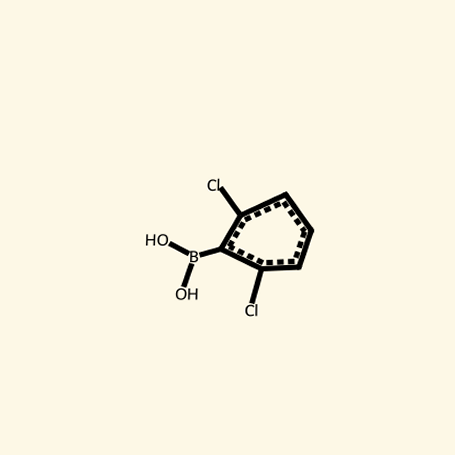 OB(O)c1c(Cl)cccc1Cl